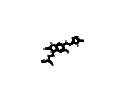 Cc1ncc(COc2cc3oc(=O)n(CCC(=O)O)c3cc2Cl)o1